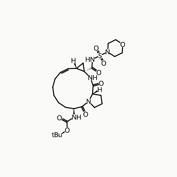 CC(C)(C)OC(=O)N[C@H]1CCCCC/C=C\[C@@H]2C[C@@]2(C(=O)NS(=O)(=O)N2CCOCC2)NC(=O)[C@@H]2CCCN2C1=O